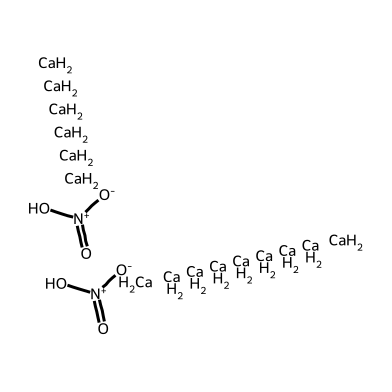 O=[N+]([O-])O.O=[N+]([O-])O.[CaH2].[CaH2].[CaH2].[CaH2].[CaH2].[CaH2].[CaH2].[CaH2].[CaH2].[CaH2].[CaH2].[CaH2].[CaH2].[CaH2].[CaH2]